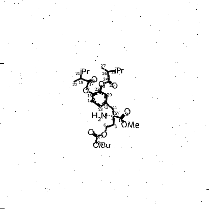 COC(=O)[C@@](N)(CCOC(=O)OCC(C)C)Cc1ccc(OC(=O)C(C)C(C)C)c(OC(=O)C(C)C(C)C)c1